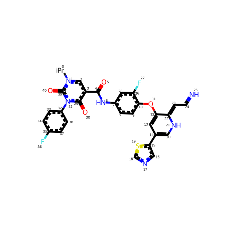 CC(C)n1cc(C(=O)Nc2ccc(OC3=CC(c4cncs4)=CN/C3=C\C=N)c(F)c2)c(=O)n(-c2ccc(F)cc2)c1=O